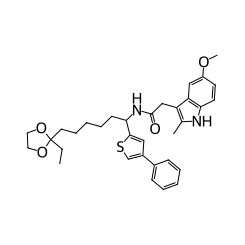 CCC1(CCCCCC(NC(=O)Cc2c(C)[nH]c3ccc(OC)cc23)c2cc(-c3ccccc3)cs2)OCCO1